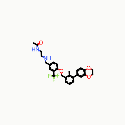 CC(=O)NCCNCc1ccc(OCc2cccc(-c3ccc4c(c3)OCCO4)c2C)c(C(F)(F)F)c1